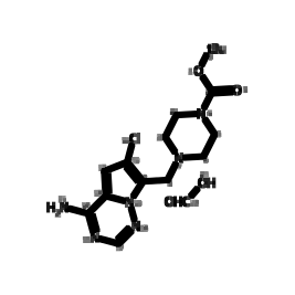 CC(C)(C)OC(=O)N1CCN(Cc2c(Cl)cc3c(N)ncnn23)CC1.O=CO